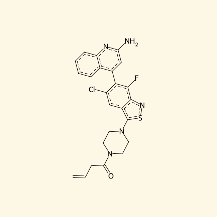 C=CCC(=O)N1CCN(c2snc3c(F)c(-c4cc(N)nc5ccccc45)c(Cl)cc23)CC1